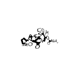 COC1(N(C(C)=O)c2cccs2)C(=O)N2C=C(OC(N)=O)C(C(=O)O)S[C@@H]21